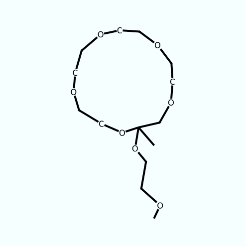 COCCOC1(C)COCCOCCOCCOCCO1